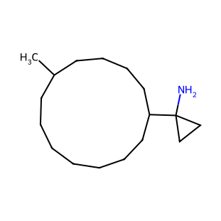 CC1CCCCCCCC(C2(N)CC2)CCCC1